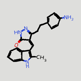 Cc1[nH]c2ccccc2c1C=C1C(=O)NN=C1CCc1ccc(N)cc1